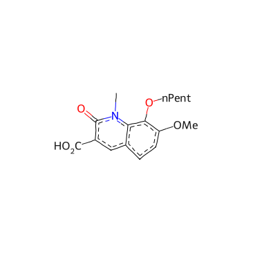 CCCCCOc1c(OC)ccc2cc(C(=O)O)c(=O)n(C)c12